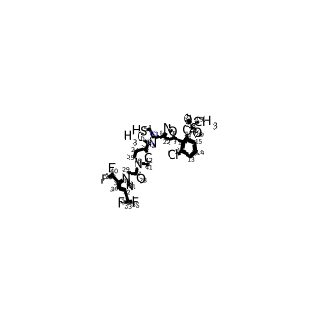 C/C(=N\C(=C/S)C1=NOC(c2c(Cl)cccc2OS(C)(=O)=O)C1)C1CCN(C(=O)Cn2nc(C(F)F)cc2C(F)F)CC1